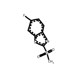 CS(=O)(=O)c1nc2ccc(F)cc2s1